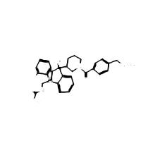 CNCc1ccc(C(=O)N2CCCC(C(O)(CCCNC(=O)OC)c3ccccc3Oc3ccccc3C)C2)cc1